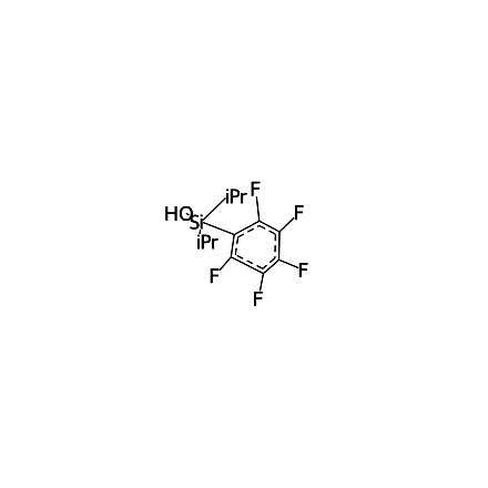 CC(C)[Si](O)(c1c(F)c(F)c(F)c(F)c1F)C(C)C